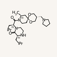 CC(C)C[C@@H]1NCCN([C@@H](CC(C)C)C(=O)N2CC[C@]3(C[C@@H]2C)OC[C@@H](CN2CCCC2)CO3)C1=O